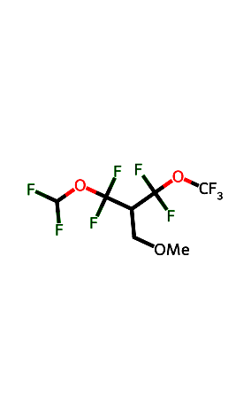 COCC(C(F)(F)OC(F)F)C(F)(F)OC(F)(F)F